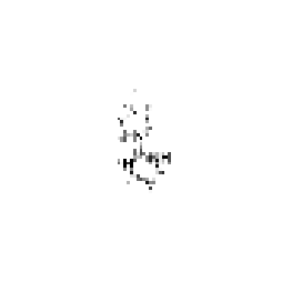 CN1CCN(C2=NC=[C]CN2)CC1